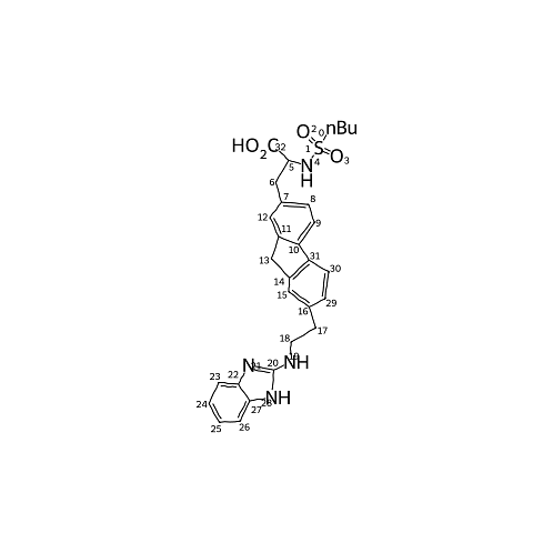 CCCCS(=O)(=O)NC(Cc1ccc2c(c1)Cc1cc(CCNc3nc4ccccc4[nH]3)ccc1-2)C(=O)O